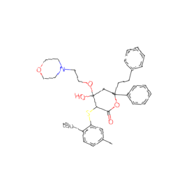 Cc1ccc(C(C)(C)C)c(SC2C(=O)OC(CCc3ccccc3)(c3ccccc3)CC2(O)OCCN2CCOCC2)c1